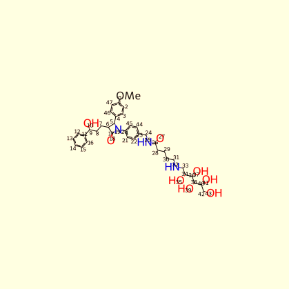 COc1ccc(C2C(CCC(O)c3ccccc3)C(=O)N2c2ccc(CNC(=O)CCCCNCC(O)C(O)C(O)C(O)CO)cc2)cc1